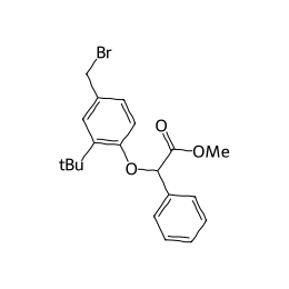 COC(=O)C(Oc1ccc(CBr)cc1C(C)(C)C)c1ccccc1